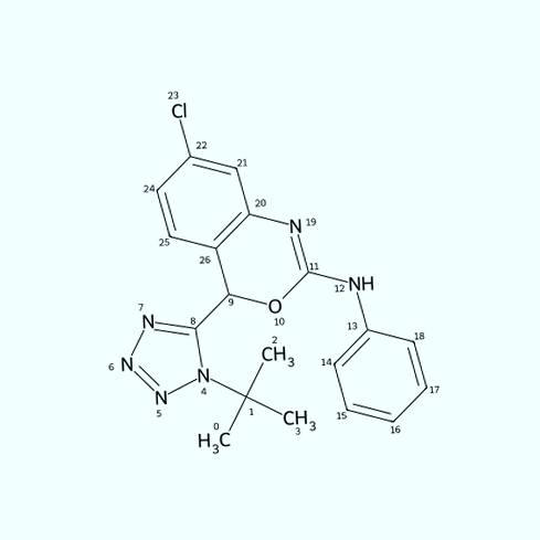 CC(C)(C)n1nnnc1C1OC(Nc2ccccc2)=Nc2cc(Cl)ccc21